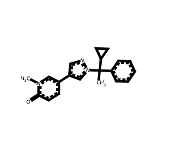 Cn1cc(-c2cnn(C(C)(c3ccccc3)C3CC3)c2)ccc1=O